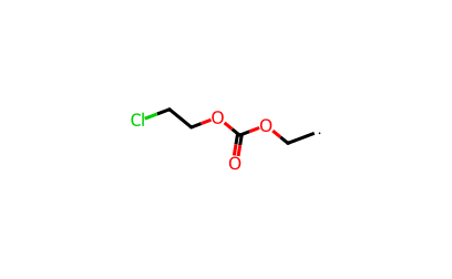 [CH2]COC(=O)OCCCl